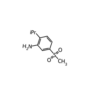 CC(C)c1ccc(S(C)(=O)=O)cc1N